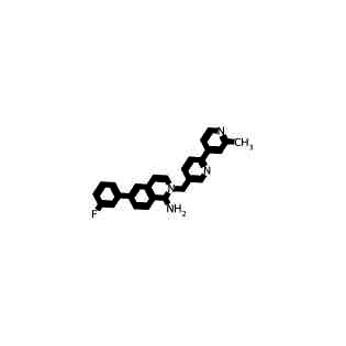 Cc1cc(-c2ccc(CN3C=Cc4cc(-c5cccc(F)c5)ccc4C3N)cn2)ccn1